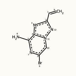 C=Cc1nc2c(N)nc(Br)cn2n1